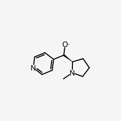 CN1CCC[C@@H]1C([O])c1ccncc1